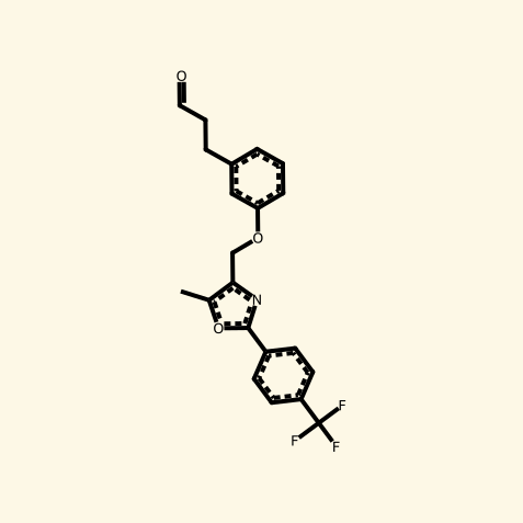 Cc1oc(-c2ccc(C(F)(F)F)cc2)nc1COc1cccc(CCC=O)c1